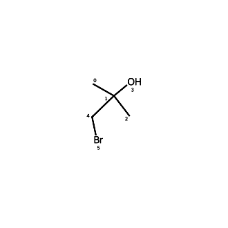 CC(C)(O)CBr